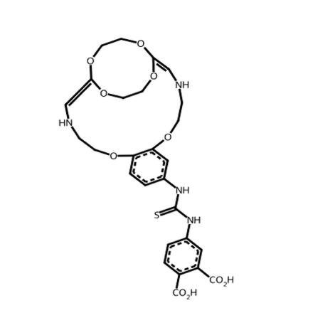 O=C(O)c1ccc(NC(=S)Nc2ccc3c(c2)OCCNC=C2OCCOC(=CNCCO3)OCCO2)cc1C(=O)O